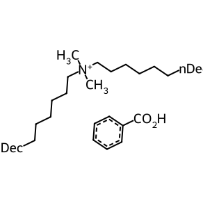 CCCCCCCCCCCCCCCC[N+](C)(C)CCCCCCCCCCCCCCCC.O=C(O)c1ccccc1